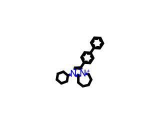 c1ccc(-c2ccc(-c3cn(C4CCCCC4)c4[n+]3CCCCC4)cc2)cc1